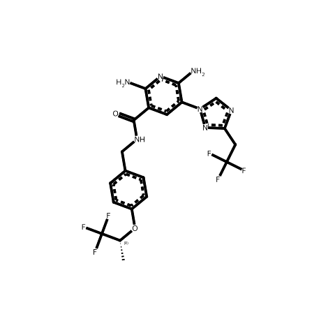 C[C@@H](Oc1ccc(CNC(=O)c2cc(-n3cnc(CC(F)(F)F)n3)c(N)nc2N)cc1)C(F)(F)F